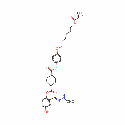 C=CC(=O)OCCCCCCOc1ccc(OC(=O)C2CCC(C(=O)Oc3ccc(O)cc3/C=N/NC=O)CC2)cc1